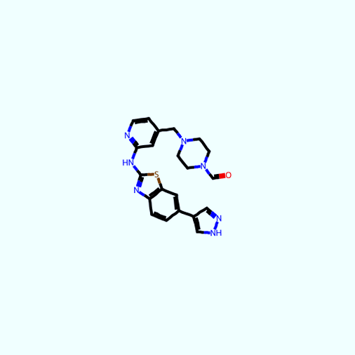 O=CN1CCN(Cc2ccnc(Nc3nc4ccc(-c5cn[nH]c5)cc4s3)c2)CC1